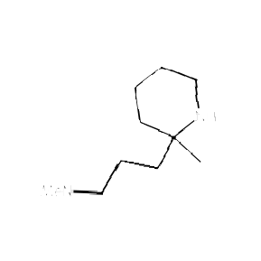 CNCCCC1(C)CCCCN1